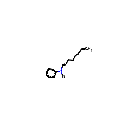 C=CCCCCC=CN(CC)c1ccccc1